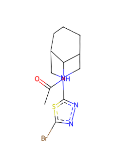 CC(=O)NC1C2CCCC1CN(c1nnc(Br)s1)C2